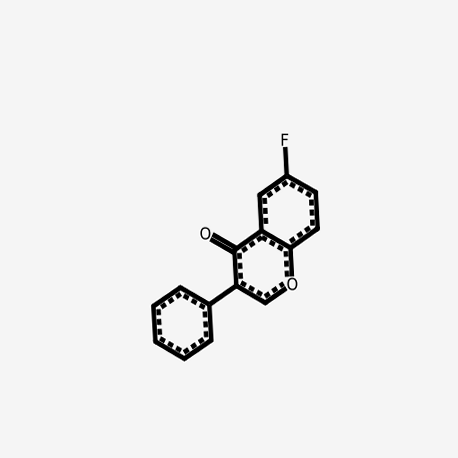 O=c1c(-c2ccccc2)coc2ccc(F)cc12